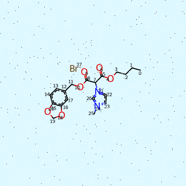 CCCCOC(=O)C(C(=O)OCc1ccc2c(c1)OCO2)n1cc[n+](C)c1.[Br-]